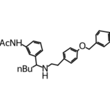 CCCCC(NCCc1ccc(OCc2ccccc2)cc1)c1cccc(NC(C)=O)c1